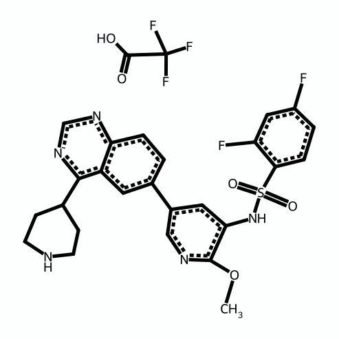 COc1ncc(-c2ccc3ncnc(C4CCNCC4)c3c2)cc1NS(=O)(=O)c1ccc(F)cc1F.O=C(O)C(F)(F)F